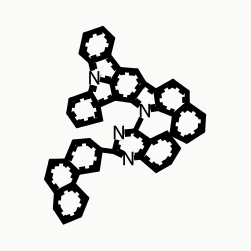 c1ccc2c(c1)ccc1ccc(-c3nc(-n4c5c6ccccc6ccc5c5cc6c7ccccc7n7c8ccccc8c(c54)c67)c4ccccc4n3)cc12